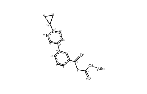 CC(C)(C)OC(=O)CC(=O)c1cccc(-c2ccc(C3CC3)nc2)c1